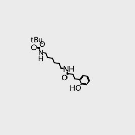 CC(C)(C)OC(=O)NCCCCCCNC(=O)CCc1ccccc1O